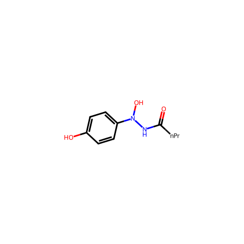 CCCC(=O)NN(O)c1ccc(O)cc1